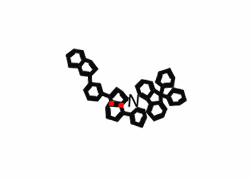 c1ccc(-c2ccccc2N(c2ccc(-c3cccc(-c4ccc5ccccc5c4)c3)cc2)c2cccc3c2-c2ccccc2C3(c2ccccc2)c2ccccc2)cc1